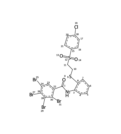 O=C(Nc1ccccc1SCCS(=O)(=O)c1ccc(Cl)cc1)c1cc(Br)c(Br)c(Br)c1Br